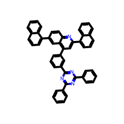 c1ccc(-c2nc(-c3ccccc3)nc(-c3cccc(-c4cc(-c5cccc6ccccc56)nc5ccc(-c6cccc7ccccc67)cc45)c3)n2)cc1